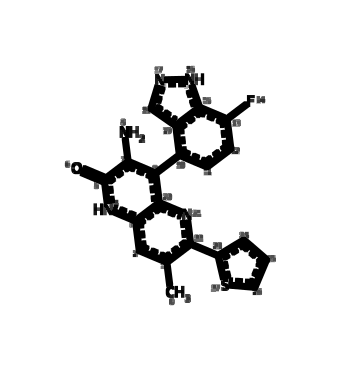 Cc1cc2[nH]c(=O)c(N)c(-c3ccc(F)c4[nH]ncc34)c2nc1-c1cccs1